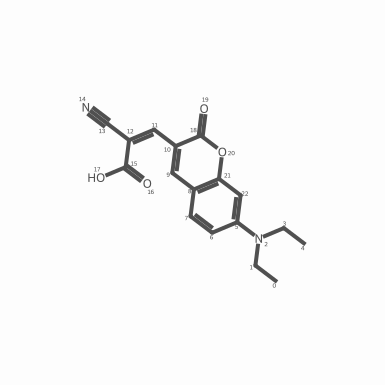 CCN(CC)c1ccc2cc(C=C(C#N)C(=O)O)c(=O)oc2c1